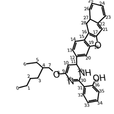 CCCCC(CC)COC1=CC(c2ccc3c4c(oc3c2)C=C2C=CC=CC2C4)NC(c2ccccc2O)=N1